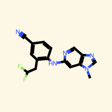 Cn1cnc2[c]nc(Nc3ccc(C#N)cc3CC(F)F)cc21